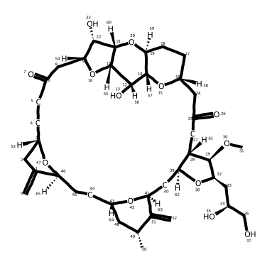 C=C1C[C@@H]2CCC(=O)C[C@H]3O[C@H]4[C@@H](O)[C@H]5O[C@H](CC[C@@H]5O[C@H]4[C@H]3O)CC(=O)C[C@@H]3[C@@H](OC)[C@@H](C[C@H](O)CO)O[C@H]3C[C@@H]3O[C@@H](CC[C@@H]1O2)C[C@@H](C)C3=C